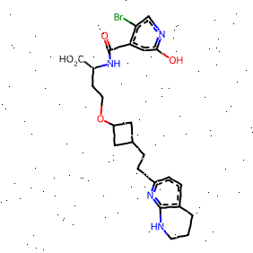 O=C(NC(CCOC1CC(CCc2ccc3c(n2)NCCC3)C1)C(=O)O)c1cc(O)ncc1Br